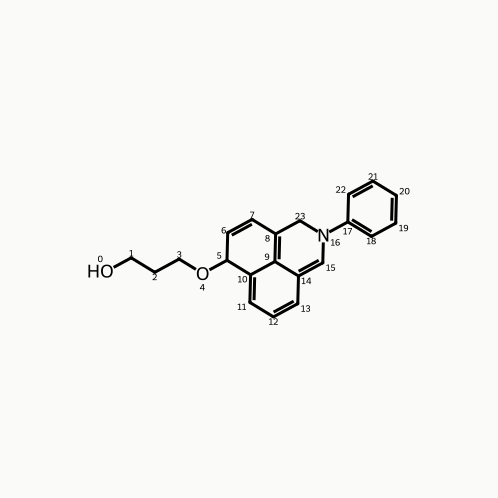 OCCCOC1C=CC2=c3c1cccc3=CN(c1ccccc1)C2